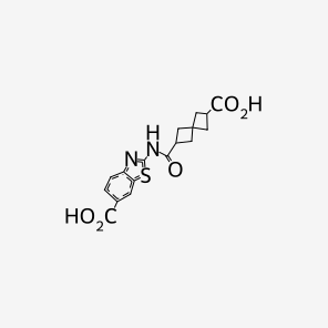 O=C(O)c1ccc2nc(NC(=O)C3CC4(CC(C(=O)O)C4)C3)sc2c1